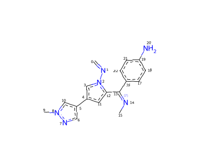 C=Nn1cc(-c2cnn(C)c2)cc1/C(=N\C)c1ccc(N)cc1